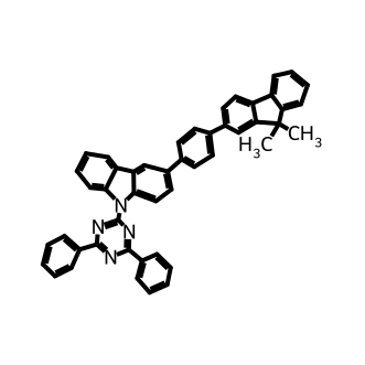 CC1(C)c2ccccc2-c2ccc(-c3ccc(-c4ccc5c(c4)c4ccccc4n5-c4nc(-c5ccccc5)nc(-c5ccccc5)n4)cc3)cc21